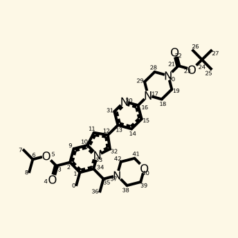 Cc1c(C(=O)OC(C)C)cc2cc(-c3ccc(N4CCN(C(=O)OC(C)(C)C)CC4)nc3)cn2c1C(C)N1CCOCC1